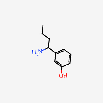 C[CH]CC(N)c1cccc(O)c1